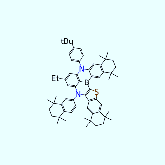 CCc1cc2c3c(c1)N(c1ccc4c(c1)C(C)(C)CCC4(C)C)c1c(sc4cc5c(cc14)C(C)(C)CCC5(C)C)B3c1cc3c(cc1N2c1ccc(C(C)(C)C)cc1)C(C)(C)CCC3(C)C